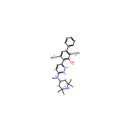 COc1cc(-c2ccccc2)c(OC)c(O)c1-c1ccc(N(C)C2CC(C)(C)NC(C)(C)C2)nn1